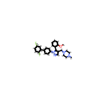 COc1ccccc1-c1c(CN2CCN(C)CC2)cnn1-c1ccc(-c2cc(F)ccc2F)cc1